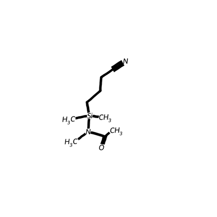 CC(=O)N(C)[Si](C)(C)CCCC#N